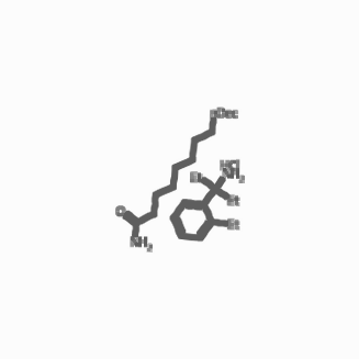 CCCCCCCCCCCCCCCCCC(N)=O.CCc1ccccc1C(N)(CC)CC.Cl